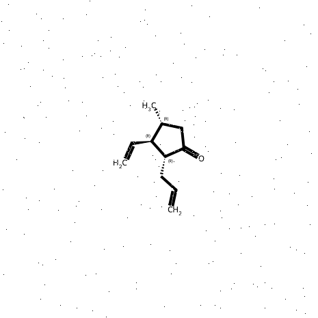 C=CC[C@H]1C(=O)C[C@@H](C)[C@@H]1C=C